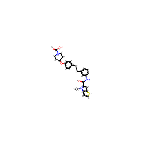 Cn1c(C(=O)Nc2cccc(CCc3ccc(OC4CCN(C(=O)O)CC4)cc3)c2)cc2sccc21